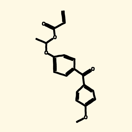 C=CC(=O)OC(C)Oc1ccc(C(=O)c2ccc(OC)cc2)cc1